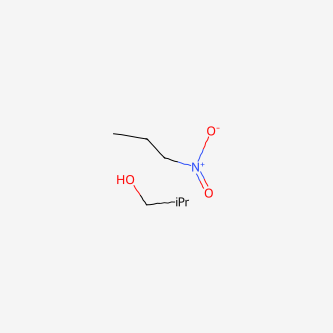 CC(C)CO.CCC[N+](=O)[O-]